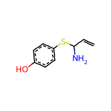 C=CC(N)Sc1ccc(O)cc1